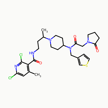 Cc1cc(Cl)nc(Cl)c1C(=O)NCCC(C)N1CCC(N(Cc2ccsc2)C(=O)CN2CCCC2=O)CC1